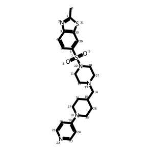 Cc1nc2ccc(S(=O)(=O)N3CCN(CC4CCN(c5ccncc5)CC4)CC3)cc2s1